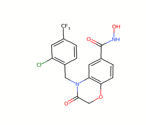 O=C(NO)c1ccc2c(c1)N(Cc1ccc(C(F)(F)F)cc1Cl)C(=O)CO2